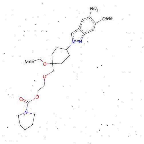 COc1cc2nn(C3CCC(COCCOC(=O)N4CCCCC4)(OCSC)CC3)cc2cc1[N+](=O)[O-]